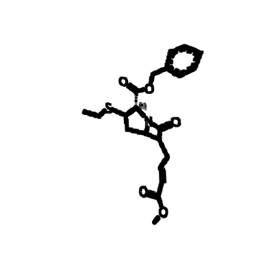 CCSC1CC2C(CC=CC(=O)OC)C(=O)N2[C@H]1C(=O)OCc1ccccc1